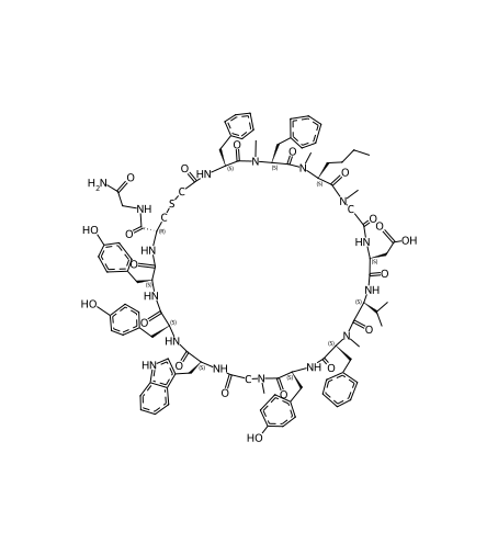 CCCC[C@H]1C(=O)N(C)CC(=O)N[C@@H](CC(=O)O)C(=O)N[C@@H](C(C)C)C(=O)N(C)[C@@H](Cc2ccccc2)C(=O)N[C@@H](Cc2ccc(O)cc2)C(=O)N(C)CC(=O)N[C@@H](Cc2c[nH]c3ccccc23)C(=O)N[C@@H](Cc2ccc(O)cc2)C(=O)N[C@@H](Cc2ccc(O)cc2)C(=O)N[C@H](C(=O)NCC(N)=O)CSCC(=O)N[C@@H](Cc2ccccc2)C(=O)N(C)[C@@H](Cc2ccccc2)C(=O)N1C